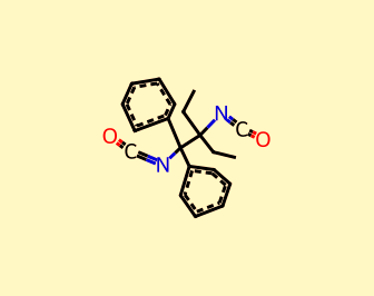 CCC(CC)(N=C=O)C(N=C=O)(c1ccccc1)c1ccccc1